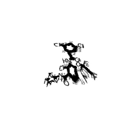 Cn1nnnc1NC(=O)c1ccc(OC(F)(F)F)c(NC(=O)c2cc(Cl)cc(Cl)c2)c1Cl